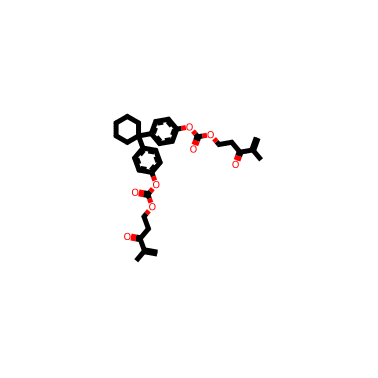 C=C(C)C(=O)CCOC(=O)Oc1ccc(C2(c3ccc(OC(=O)OCCC(=O)C(=C)C)cc3)CCCCC2)cc1